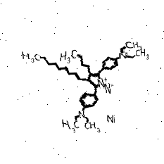 CCCCCCCC=CC1=C(c2ccc(N(CC)CC)cc2)[N+](=[N-])C(c2ccc(N(CC)CC)cc2)=C1CCCC.[Ni]